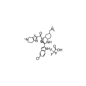 CN(C)CC1CCC(NC(=O)c2cc3cc(Cl)ccc3[nH]2)C(NC(=O)c2nc3c(s2)CN(C)CC3)C1.O=C(O)C(F)(F)F